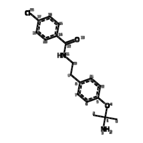 CC(C)(N)Oc1ccc(CCNC(=O)c2ccc(Cl)cc2)cc1